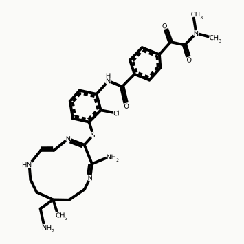 CN(C)C(=O)C(=O)c1ccc(C(=O)Nc2cccc(SC3=N/C=C/NCCC(C)(CN)CC/N=C\3N)c2Cl)cc1